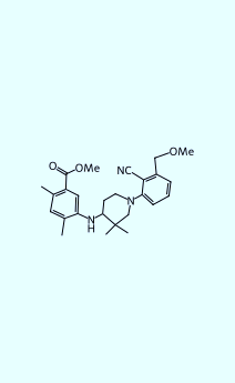 COCc1cccc(N2CCC(Nc3cc(C(=O)OC)c(C)cc3C)C(C)(C)C2)c1C#N